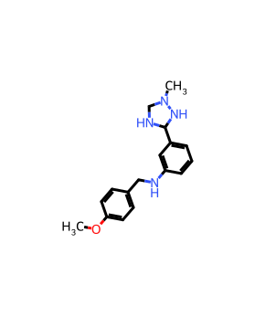 COc1ccc(CNc2cccc(C3NCN(C)N3)c2)cc1